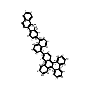 c1ccc2c(c1)ccc1c3ccc(-c4cccc5c(-c6ccc7c(c6)c6ccccc6c6c8ccccc8c8ccccc8c76)cccc45)cc3oc21